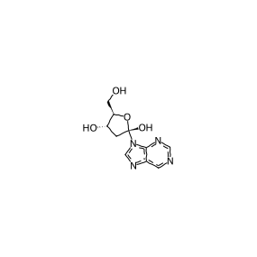 OC[C@H]1O[C@](O)(n2cnc3cncnc32)C[C@@H]1O